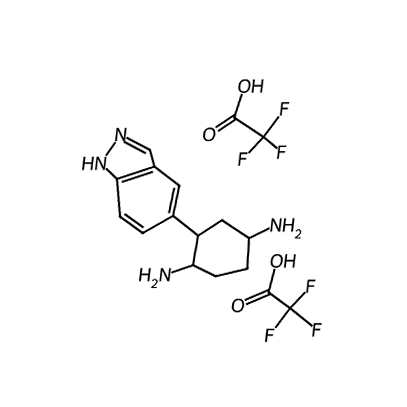 NC1CCC(N)C(c2ccc3[nH]ncc3c2)C1.O=C(O)C(F)(F)F.O=C(O)C(F)(F)F